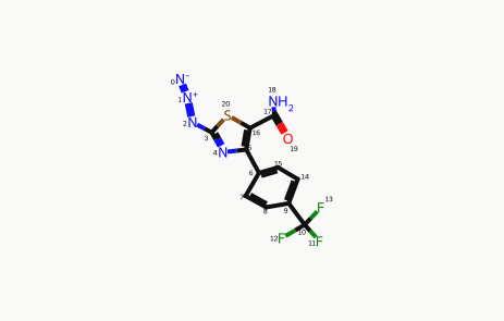 [N-]=[N+]=Nc1nc(-c2ccc(C(F)(F)F)cc2)c(C(N)=O)s1